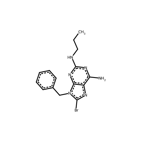 CCCNc1nc(N)c2nc(Br)n(Cc3ccccc3)c2n1